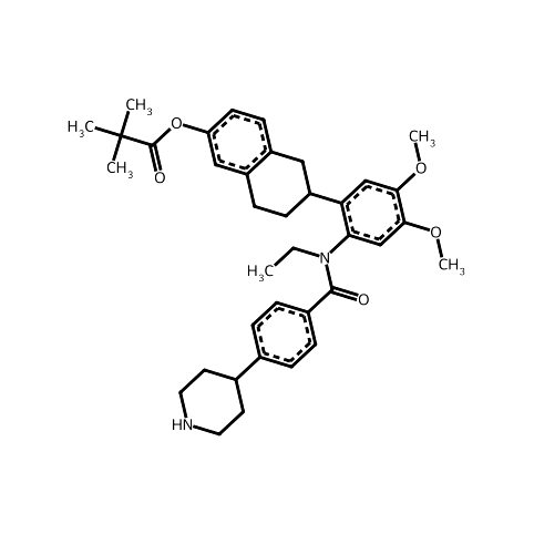 CCN(C(=O)c1ccc(C2CCNCC2)cc1)c1cc(OC)c(OC)cc1C1CCc2cc(OC(=O)C(C)(C)C)ccc2C1